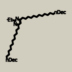 C[CH]c1nc(CCCCCCCCCCCCCCCCCCCCCC)cc(CCCCCCCCCCCCCCCCCCCCCC)n1